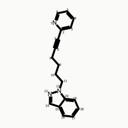 C(#Cc1ccccn1)CCCCn1ncc2ccccc21